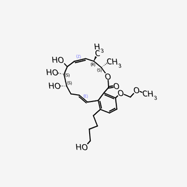 COCOc1ccc(CCCCO)c2c1C(=O)O[C@@H](C)[C@H](C)/C=C\C(O)[C@@H](O)[C@@H](O)C/C=C/2